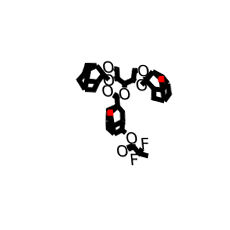 CC(F)(F)C(=O)OC1C2CC3CC1CC(C(=O)OC(C1COC4(O1)C1CC5CC(C1)CC4C5)C1COC4(O1)C1CC5CC(C1)CC4C5)(C3)C2